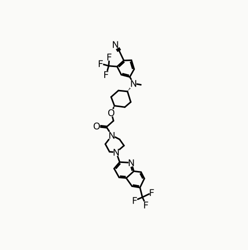 CN(c1ccc(C#N)c(C(F)(F)F)c1)[C@H]1CC[C@H](OCC(=O)N2CCN(c3ccc4cc(C(F)(F)F)ccc4n3)CC2)CC1